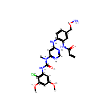 C=CC(=O)Nc1cc(CON)ccc1Nc1cc(N(C)C(=O)Nc2cc(OC)cc(OC)c2Cl)ncn1